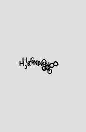 CCC(C)N1CCN(C(=O)c2cccn3c(=O)c4cc5ccccc5cc4nc23)CC1